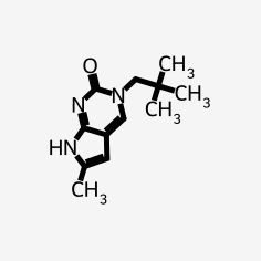 Cc1cc2cn(CC(C)(C)C)c(=O)nc2[nH]1